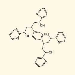 OC(CC(CC(O)c1ccccn1)c1ccc(C(CC(O)c2ccccn2)CC(O)c2ccccn2)cc1)c1ccccn1